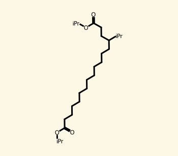 CC(C)OC(=O)CCCCCCCCCCCCC(CCC(=O)OC(C)C)C(C)C